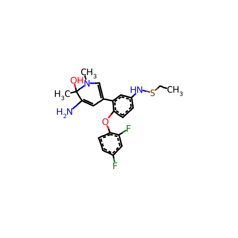 CCSNc1ccc(Oc2ccc(F)cc2F)c(C2=CN(C)C(C)(O)C(N)=C2)c1